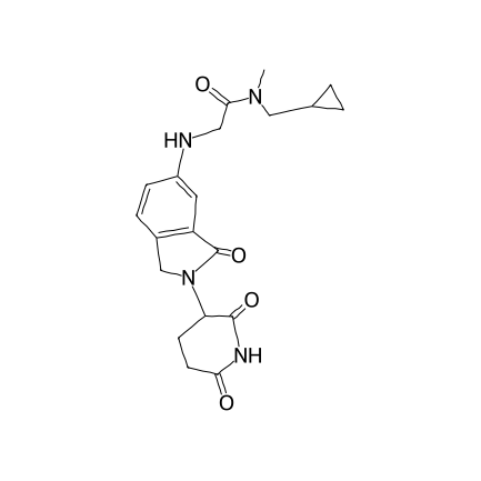 CN(CC1CC1)C(=O)CNc1ccc2c(c1)C(=O)N(C1CCC(=O)NC1=O)C2